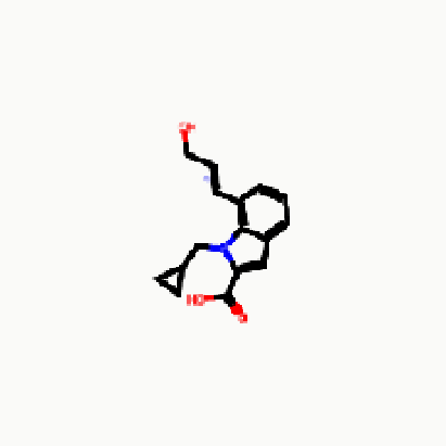 O=C(O)c1cc2cccc(/C=C/CO)c2n1CC1CC1